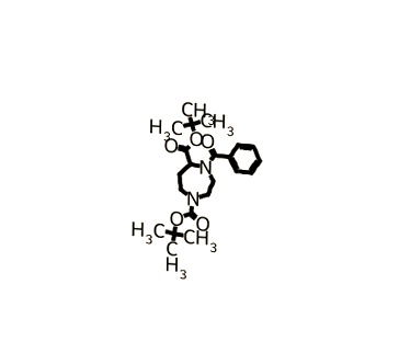 CC(C)(C)OC(=O)C1CCN(C(=O)OC(C)(C)C)CCN1C(=O)c1ccccc1